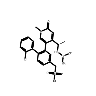 CCS(=O)(=O)Cc1ccc(-c2ccccc2Cl)c(-c2cn(C)c(=O)cc2[C@H](C)N[S+]([O-])C(C)(C)C)c1